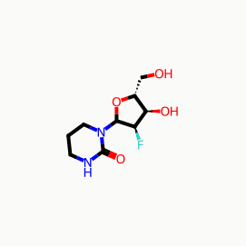 O=C1NCCCN1C1O[C@H](CO)[C@@H](O)[C@H]1F